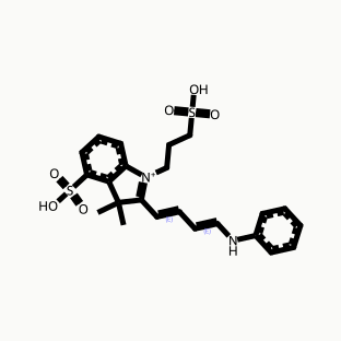 CC1(C)C(/C=C/C=C/Nc2ccccc2)=[N+](CCCS(=O)(=O)O)c2cccc(S(=O)(=O)O)c21